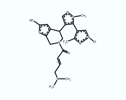 CCn1cc(-c2c(C3CN(C(=O)/C=C/CN(C)C)Cc4sc(C#N)cc43)cnn2C)c(C(F)(F)F)n1